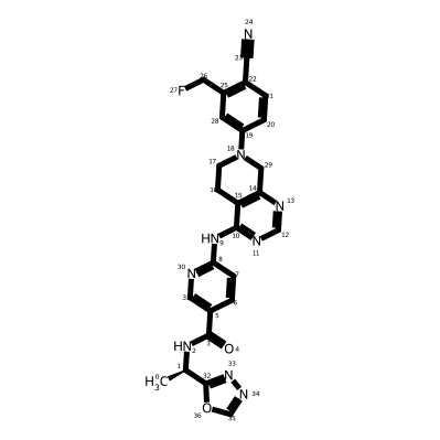 C[C@@H](NC(=O)c1ccc(Nc2ncnc3c2CCN(c2ccc(C#N)c(CF)c2)C3)nc1)c1nnco1